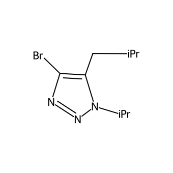 CC(C)Cc1c(Br)nnn1C(C)C